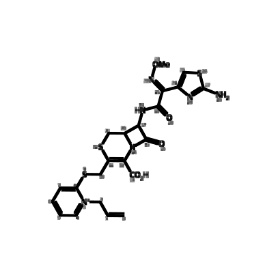 C=CC[n+]1ccccc1SCC1=C(C(=O)O)N2C(=O)C(NC(=O)C(=NOC)c3csc(N)n3)C2CS1